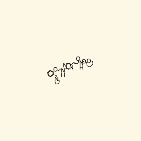 O=C(/C=C/c1cnc(NCCOc2ccccc2CN2CCCC2)cn1)NOC1CCCCO1